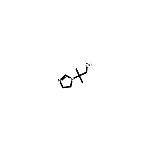 CC(C)(CO)N1C=NCC1